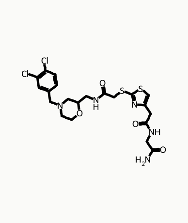 NC(=O)CNC(=O)Cc1csc(SCC(=O)NCC2CN(Cc3ccc(Cl)c(Cl)c3)CCO2)n1